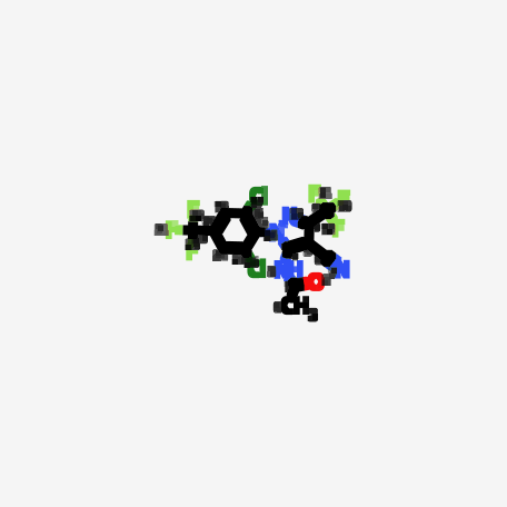 CC(=O)Nc1c(C#N)c(C(F)(F)F)nn1-c1c(Cl)cc(C(F)(F)F)cc1Cl